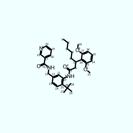 CCCCCC(CC(=O)Nc1cc(CNC(=O)c2cccnc2)ccc1C(C)(C)C)c1c(OC)cccc1OC